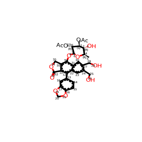 CC(=O)O[C@H]1[C@H](O)[C@@H](C)OC(Oc2c3c(c(-c4ccc5c(c4)OCO5)c4cc(CO)c(CO)cc24)C(=O)OC3)[C@@H]1OC(C)=O